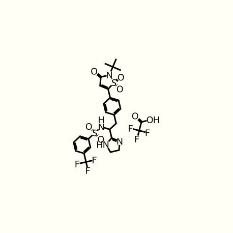 CC(C)(C)N1C(=O)C=C(c2ccc(CC(NS(=O)(=O)c3cccc(C(F)(F)F)c3)C3=NCCN3)cc2)S1(=O)=O.O=C(O)C(F)(F)F